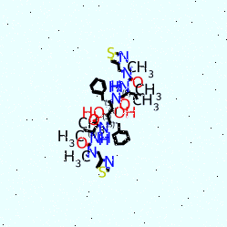 CC(C)[C@H](NC(=O)N(C)Cc1cscn1)C(=O)N[C@@H](Cc1ccccc1)[C@H](O)[C@H](O)[C@H](Cc1ccccc1)NC(=O)[C@@H](NC(=O)N(C)Cc1cscn1)C(C)C